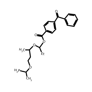 CCC(OC(=O)c1ccc(C(=O)c2ccccc2)cc1)OC(C)CCOC(C)P